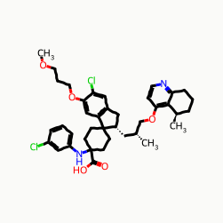 COCCCOc1cc2c(cc1Cl)C[C@H](C[C@@H](C)COc1ccnc3c1[C@H](C)CCC3)C21CCC(Nc2cccc(Cl)c2)(C(=O)O)CC1